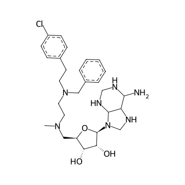 CN(CCN(CCc1ccc(Cl)cc1)Cc1ccccc1)C[C@H]1O[C@@H](N2CNC3C(N)NCNC32)[C@H](O)[C@@H]1O